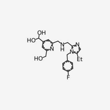 CCc1cnc(CNCc2cc(C(O)O)cc(CO)n2)n1Cc1ccc(F)cc1